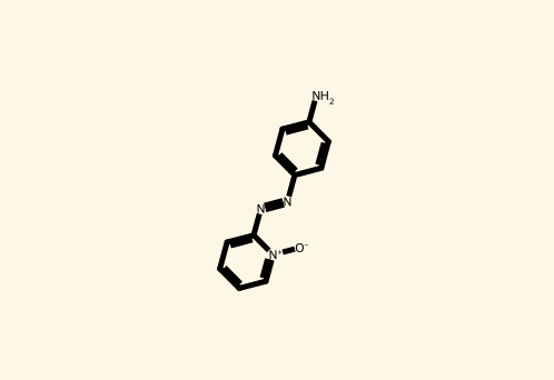 Nc1ccc(N=Nc2cccc[n+]2[O-])cc1